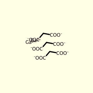 O=C([O-])CC(=O)[O-].O=C([O-])CC(=O)[O-].O=C([O-])CC(=O)[O-].[Ga+3].[Ga+3]